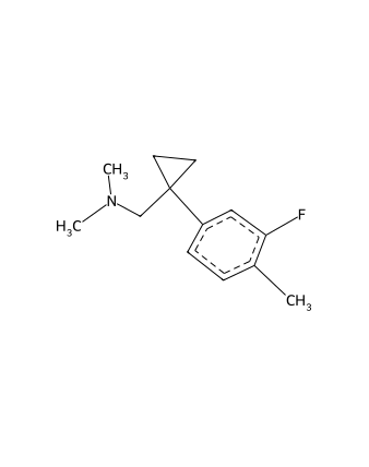 Cc1ccc(C2(CN(C)C)CC2)cc1F